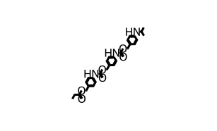 CCC(=O)OCc1ccc(NC(=O)OCc2ccc(NC(=O)OCc3ccc(NC(C)C)cc3)cc2)cc1